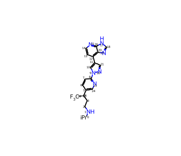 CC(C)NCC[C@H](c1ccc(-n2cc(-c3ccnc4[nH]cnc34)cn2)nc1)C(F)(F)F